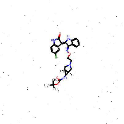 CC(C)(C)OC(=O)NC1[C@H]2CN(CCO/N=C3/C(=C4/C(=O)Nc5ccc(Br)cc54)Nc4ccccc43)C[C@@H]12